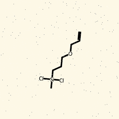 C=CCOCCC[Si](C)(Cl)Cl